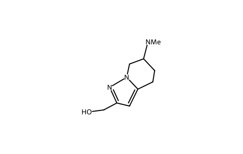 CNC1CCc2cc(CO)nn2C1